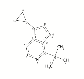 CC(C)(C)c1nccc2c(C3CC3)c[nH]c12